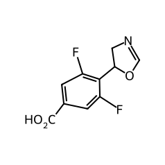 O=C(O)c1cc(F)c(C2CN=CO2)c(F)c1